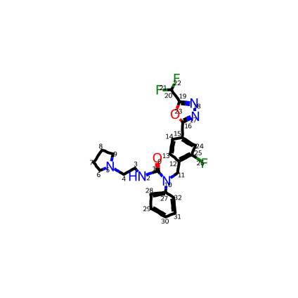 O=C(NCCN1CCCC1)N(Cc1ccc(-c2nnc(C(F)F)o2)cc1F)c1ccccc1